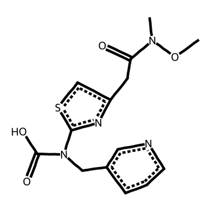 CON(C)C(=O)Cc1csc(N(Cc2cccnc2)C(=O)O)n1